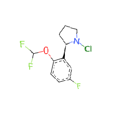 Fc1ccc(OC(F)F)c([C@H]2CCCN2Cl)c1